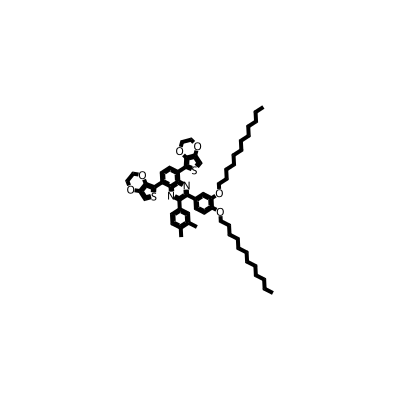 CCCCCCCCCCCCOc1ccc(-c2nc3c(-c4scc5c4OCCO5)ccc(-c4scc5c4OCCO5)c3nc2-c2ccc(C)c(C)c2)cc1OCCCCCCCCCCCC